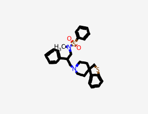 CN(CC(CN1CCC2(CC1)CSc1ccccc12)c1ccccc1)S(=O)(=O)c1ccccc1